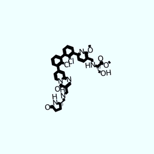 COC(=O)[C@H](CO)NCc1ccc(-c2cccc(-c3cccc(-c4ccn5c(=O)c(CNC[C@H]6CCC(=O)N6)cnc5c4)c3Cl)c2Cl)nc1OC